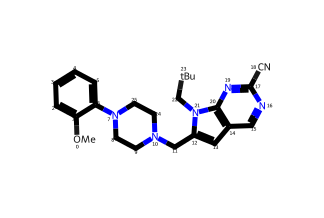 COc1ccccc1N1CCN(Cc2cc3cnc(C#N)nc3n2CC(C)(C)C)CC1